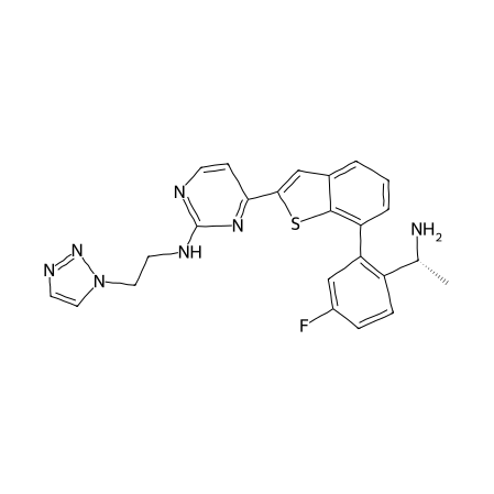 C[C@@H](N)c1ccc(F)cc1-c1cccc2cc(-c3ccnc(NCCn4ccnn4)n3)sc12